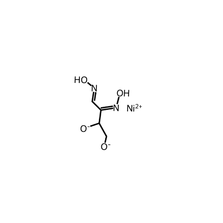 [Ni+2].[O-]CC([O-])C(C=NO)=NO